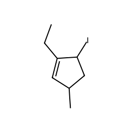 CCC1=CC(C)CC1I